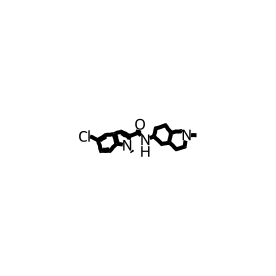 CN1CCC2CC(NC(=O)c3cc4cc(Cl)ccc4n3C)CCC2C1